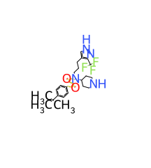 CC(C)(C)c1ccc(S(=O)(=O)N(CCCc2c[nH]nc2C(F)(F)F)C2CCNCC2)cc1